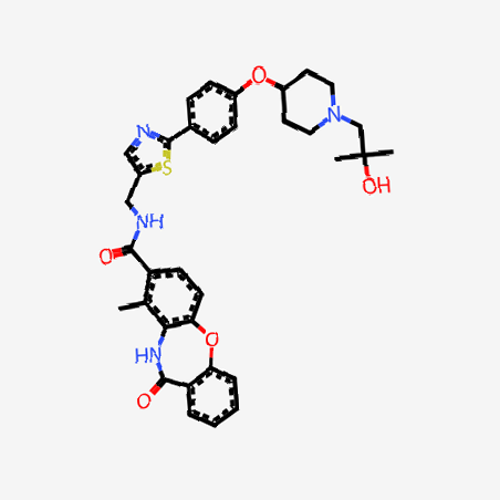 Cc1c(C(=O)NCc2cnc(-c3ccc(OC4CCN(CC(C)(C)O)CC4)cc3)s2)ccc2c1NC(=O)c1ccccc1O2